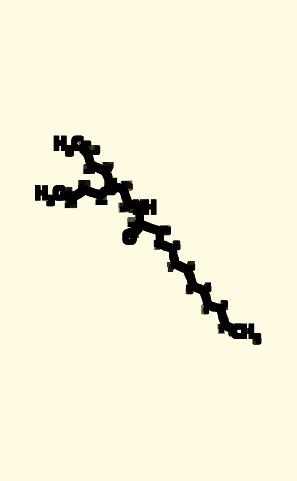 CCCCCCCCCCCC(=O)NCCN(CCCC)CCCC